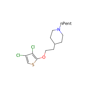 CCCCCN1CCC(CCOc2scc(Cl)c2Cl)CC1